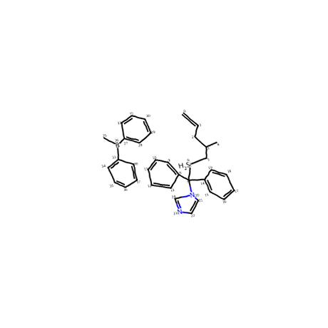 C=CCC(C)C[SiH2]C(c1ccccc1)(c1ccccc1)n1ccnc1.CB(c1ccccc1)c1ccccc1